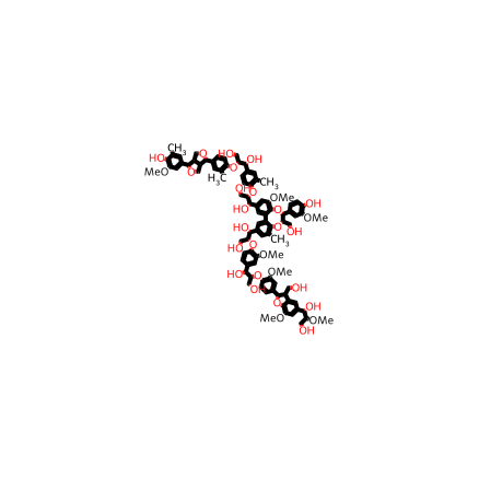 COc1cc(C2Oc3c(OC)cc(C(O)C(CO)Oc4ccc(C(O)C(CO)Oc5ccc(C6OCC7C(c8cc(C)c(O)c(OC)c8)OCC67)cc5C)cc4C)cc3-c3cc(C(O)C(CO)Oc4ccc(C(O)C(CO)Oc5ccc(C6Oc7c(OC)cc(C(O)C(CO)OC)cc7C6CO)cc5OC)cc4OC)cc(C)c3OC2CO)ccc1O